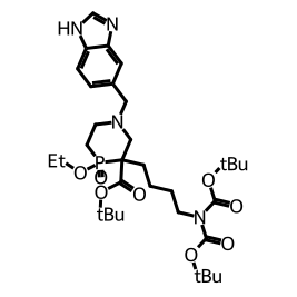 CCOP1(=O)CCN(Cc2ccc3[nH]cnc3c2)CC1(CCCCN(C(=O)OC(C)(C)C)C(=O)OC(C)(C)C)C(=O)OC(C)(C)C